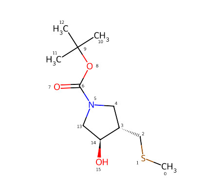 CSC[C@H]1CN(C(=O)OC(C)(C)C)C[C@@H]1O